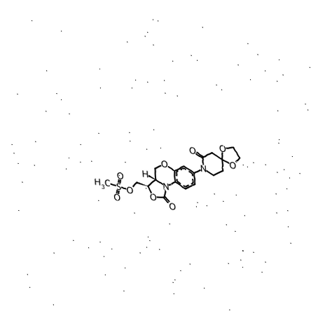 CS(=O)(=O)OC[C@@H]1OC(=O)N2c3ccc(N4CCC5(CC4=O)OCCO5)cc3OC[C@@H]12